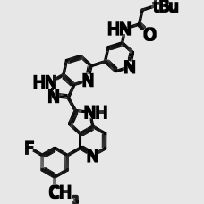 Cc1cc(F)cc(-c2nccc3[nH]c(-c4n[nH]c5ccc(-c6cncc(NC(=O)CC(C)(C)C)c6)nc45)cc23)c1